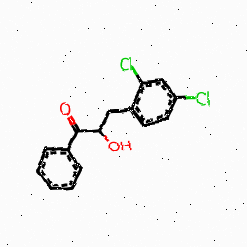 O=C(c1ccccc1)C(O)Cc1ccc(Cl)cc1Cl